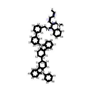 C\C=C/C=C\C(=C\NC)C(=N/Cc1cccc(-c2cccc(-n3c4c(c5ccccc53)C=C(C3C=Cc5c(c6ccccc6n5-c5ccccc5)C3)CC4)c2)c1)\C1=CC=CCC1